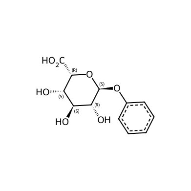 O=C(O)[C@@H]1O[C@@H](Oc2ccccc2)[C@H](O)[C@@H](O)[C@@H]1O